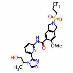 COc1cc2c(cc1C(=O)Nc1cccc(-c3nncn3[C@H](C)CO)n1)CN(S(=O)(=O)CCC(F)(F)F)C2